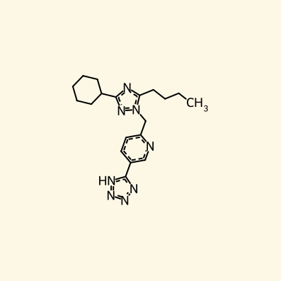 CCCCc1nc(C2CCCCC2)nn1Cc1ccc(-c2nnn[nH]2)cn1